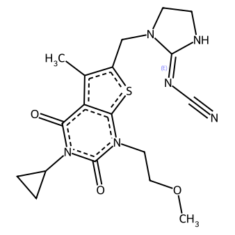 COCCn1c(=O)n(C2CC2)c(=O)c2c(C)c(CN3CCN/C3=N\C#N)sc21